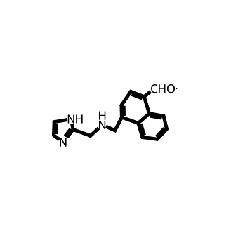 O=[C]c1ccc(CNCc2ncc[nH]2)c2ccccc12